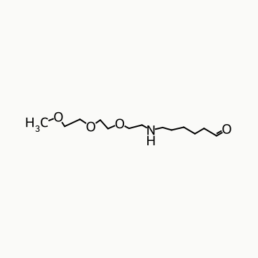 COCCOCCOCCNCCCCCC=O